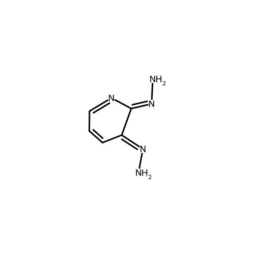 NN=C1C=CC=NC1=NN